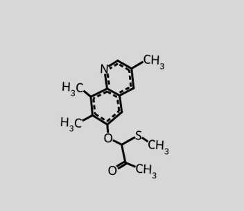 CSC(Oc1cc2cc(C)cnc2c(C)c1C)C(C)=O